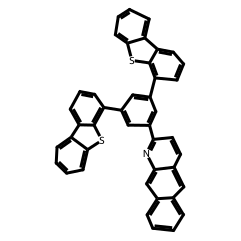 c1ccc2cc3nc(-c4cc(-c5cccc6c5sc5ccccc56)cc(-c5cccc6c5sc5ccccc56)c4)ccc3cc2c1